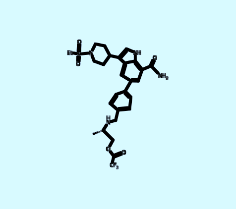 CCS(=O)(=O)N1CCC(c2c[nH]c3c(C(N)=O)cc(-c4ccc(CN[C@@H](C)COC(=O)C(F)(F)F)cc4)cc23)CC1